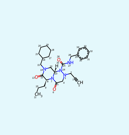 C#CCN1CC(=O)N2[C@@H](CCC)C(=O)N(CC3CCCCC3)C[C@@H]2N1C(=O)NCc1ccccc1